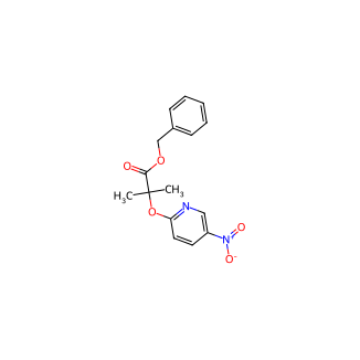 CC(C)(Oc1ccc([N+](=O)[O-])cn1)C(=O)OCc1ccccc1